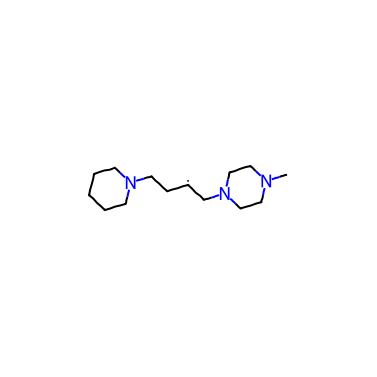 CN1CCN(C[CH]CCN2CCCCC2)CC1